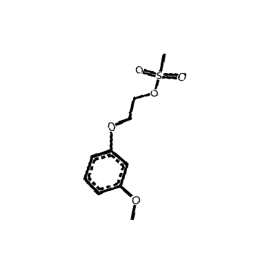 COc1cccc(OCCOS(C)(=O)=O)c1